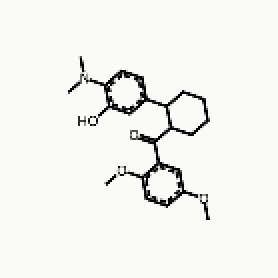 COc1ccc(OC)c(C(=O)C2CCCCC2c2ccc(N(C)C)c(O)c2)c1